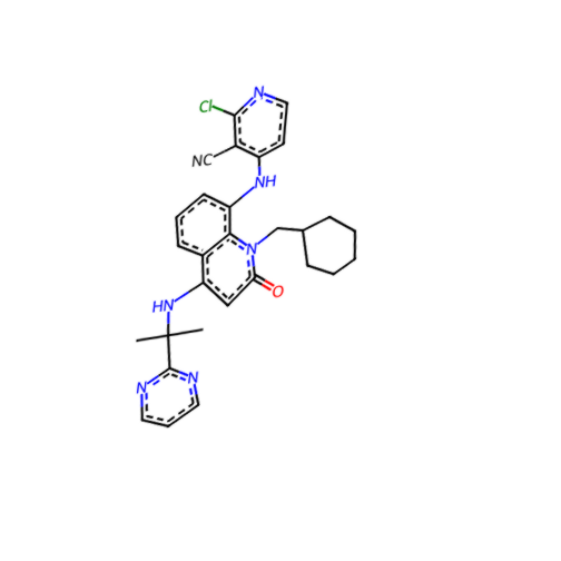 CC(C)(Nc1cc(=O)n(CC2CCCCC2)c2c(Nc3ccnc(Cl)c3C#N)cccc12)c1ncccn1